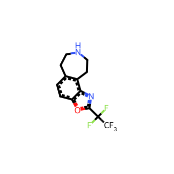 FC(F)(F)C(F)(F)c1nc2c3c(ccc2o1)CCNCC3